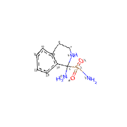 NC1(S(N)(=O)=O)NCCc2ccccc21